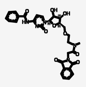 CN(CCOC[C@H]1O[C@@H](n2ccc(NC(=O)c3ccccc3)nc2=O)C(O)[C@H]1O)C(=O)CN1C(=O)c2ccccc2C1=O